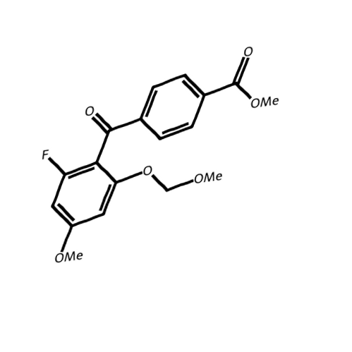 COCOc1cc(OC)cc(F)c1C(=O)c1ccc(C(=O)OC)cc1